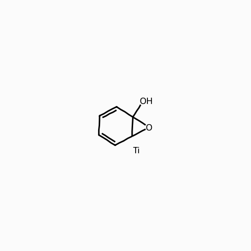 OC12C=CC=CC1O2.[Ti]